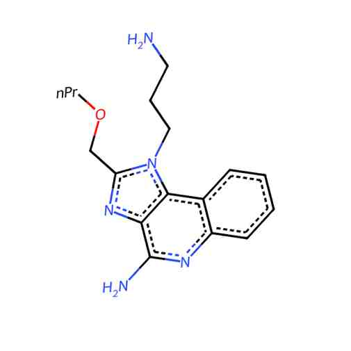 CCCOCc1nc2c(N)nc3ccccc3c2n1CCCN